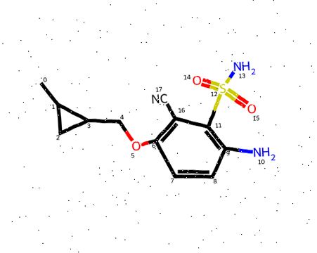 CC1CC1COc1ccc(N)c(S(N)(=O)=O)c1C#N